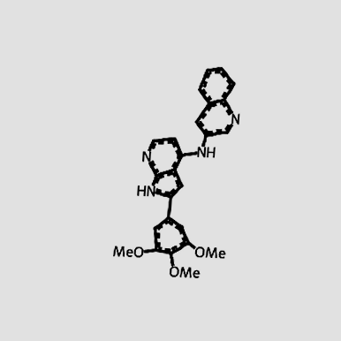 COc1cc(-c2cc3c(Nc4cnc5ccccc5c4)ccnc3[nH]2)cc(OC)c1OC